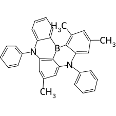 Cc1cc(C)c2c(c1)N(c1ccccc1)c1cc(C)cc3c1B2c1ccccc1N3c1ccccc1